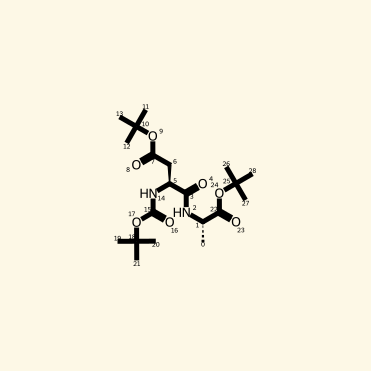 C[C@H](NC(=O)[C@H](CC(=O)OC(C)(C)C)NC(=O)OC(C)(C)C)C(=O)OC(C)(C)C